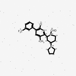 Cc1cc(-c2cccc(C(F)(F)F)c2)c(Cl)nc1C1CC(N2CCCC2)CCN1C=O